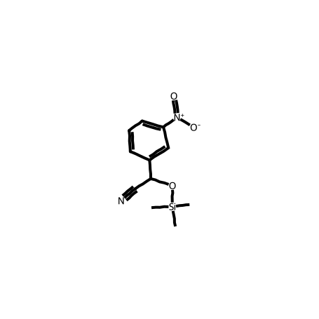 C[Si](C)(C)OC(C#N)c1cccc([N+](=O)[O-])c1